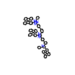 c1ccc(-c2cc(-c3ccc4c(c3)C3(c5ccccc5-c5ccccc53)c3ccccc3-4)cc(-c3cccc(-c4ccc(-c5cc(-c6cccc(-c7ccc(-c8nc(-c9ccccc9)nc(-c9ccc%10c(c9)C9(c%11ccccc%11-c%11ccccc%119)c9ccccc9-%10)n8)cc7)c6)nc(-c6ccc7c(c6)C6(c8ccccc8-c8ccccc86)c6ccccc6-7)n5)cc4)c3)n2)cc1